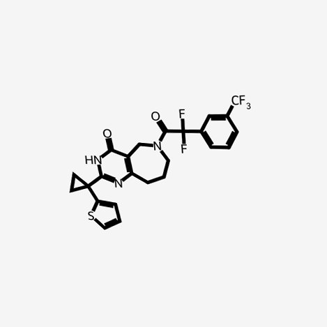 O=C(N1CCCc2nc(C3(c4cccs4)CC3)[nH]c(=O)c2C1)C(F)(F)c1cccc(C(F)(F)F)c1